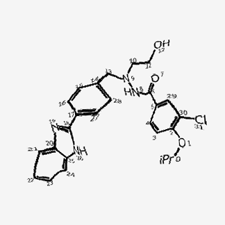 CC(C)Oc1ccc(C(=O)NN(CCO)Cc2ccc(-c3nc4ccccc4[nH]3)cc2)cc1Cl